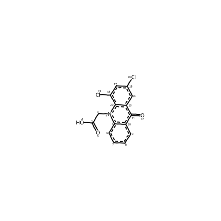 O=C(O)Cn1c2ccccc2c(=O)c2cc(Cl)cc(Cl)c21